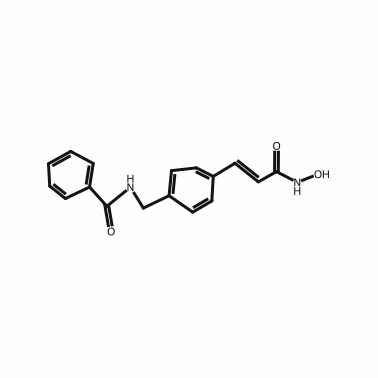 O=C(C=Cc1ccc(CNC(=O)c2ccccc2)cc1)NO